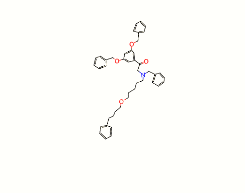 O=C(CN(CCCCCOCCCCc1ccccc1)Cc1ccccc1)c1cc(OCc2ccccc2)cc(OCc2ccccc2)c1